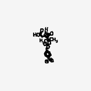 CC(C)(OC(=O)OCc1ccc([N+](=O)[O-])cc1)[C@@H]1C(=O)N[C@@H]1CC(=O)O